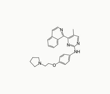 Cc1cnc(Nc2ccc(OCCN3CCCC3)cc2)nc1-c1nccc2ccccc12